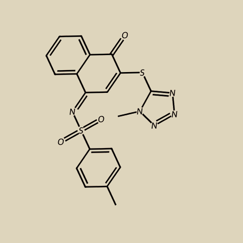 Cc1ccc(S(=O)(=O)/N=C2\C=C(Sc3nnnn3C)C(=O)c3ccccc32)cc1